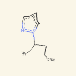 COCC(C(C)C)n1cccn1